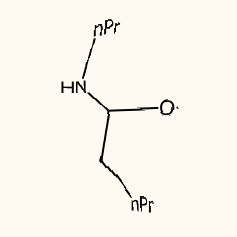 CCCCC([O])NCCC